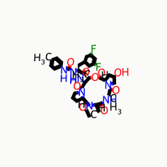 Cc1ccc(NC(=O)N[C@@H](CC2CC(F)=CC(F)C2)C(=O)N[C@@H]2C(=O)N3CCC[C@H]3C(=O)N3CCCC[C@H]3C(=O)N[C@@H](C)C(=O)N3C[C@@H](O)C[C@H]3C(=O)O[C@H]2C)cc1